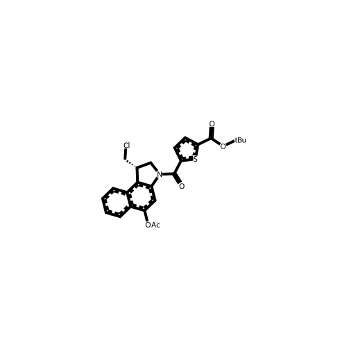 CC(=O)Oc1cc2c(c3ccccc13)[C@H](CCl)CN2C(=O)c1ccc(C(=O)OC(C)(C)C)s1